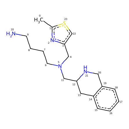 Cc1nc(CN(CCCCN)CC2Cc3ccccc3CN2)cs1